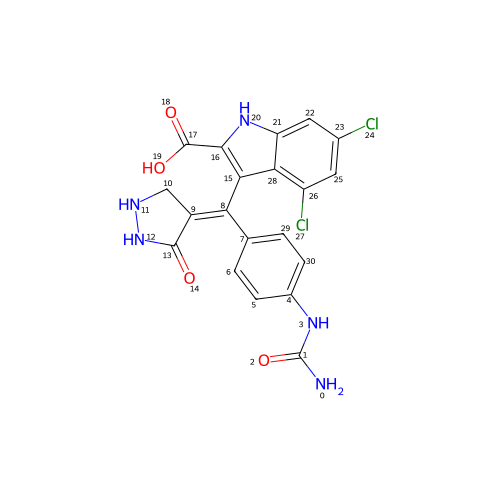 NC(=O)Nc1ccc(C(=C2CNNC2=O)c2c(C(=O)O)[nH]c3cc(Cl)cc(Cl)c23)cc1